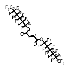 O=C(C=CC(=O)OC(F)(F)C(F)(F)C(F)(F)C(F)(F)C(F)(F)C(F)(F)F)OC(F)(F)C(F)(F)C(F)(F)C(F)(F)C(F)(F)C(F)(F)F